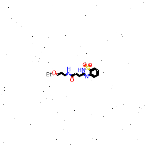 CCOCCCNC(=O)CCC1=Nc2ccccc2S(=O)(=O)N1